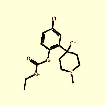 CCNC(=O)Nc1ccc(Cl)cc1C1(O)CCN(C)CC1